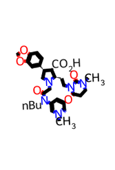 CCCCN(C(=O)CN1C[C@H](c2ccc3c(c2)OCO3)[C@@H](C(=O)O)[C@@H]1CCN1C(=O)CCN(C)C1=O)c1ccc[n+](C)c1